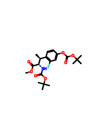 COC(=O)[C@@H](NC(=O)OC(C)(C)C)[C@@H](C)c1ccc(OC(=O)OC(C)(C)C)cc1F